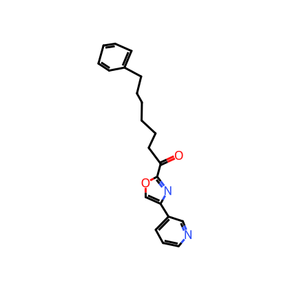 O=C(CCCCCCc1ccccc1)c1nc(-c2cccnc2)co1